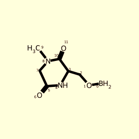 BOCC1NC(=O)CN(C)C1=O